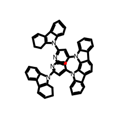 C1=Cc2c(n(-c3cc(-n4c5ccccc5c5ccc6c7ccccc7n(-c7ccnc(-n8c9c(c%10ccccc%108)C=CCC9)c7)c6c54)ccn3)c3ccccc23)CC1